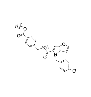 COC(=O)c1ccc(CNC(=O)c2cc3occc3n2Cc2ccc(Cl)cc2)cc1